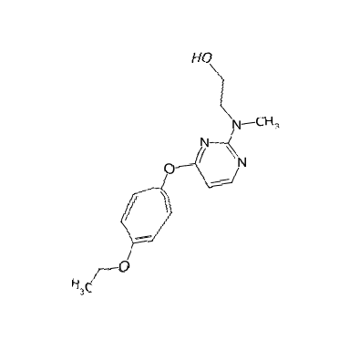 CCOc1ccc(Oc2ccnc(N(C)CCO)n2)cc1